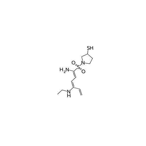 C=C/C(=C\C=C(/N)S(=O)(=O)N1CCC(S)C1)NCC